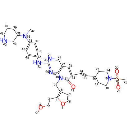 COCCc1occc1Cn1c(=O)c(C#CC2CCN(S(C)(=O)=O)CC2)cc2cnc(Nc3ccc(N(C)C4CCCNC4)cc3)nc21